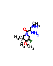 CNCC(N)C(=O)N1C[C@@H](F)[C@@H](OC)C(C)(C)C1